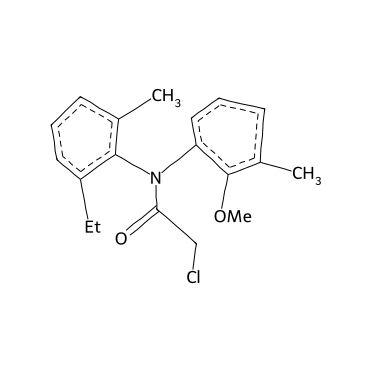 CCc1cccc(C)c1N(C(=O)CCl)c1cccc(C)c1OC